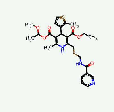 CCOC(=O)C1=C(CSCNC(=O)c2cccnc2)NC(C)=C(C(=O)OC(C)OC)C1c1ccsc1C